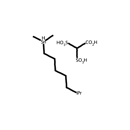 CC(C)CCCC[CH2][SnH]([CH3])[CH3].O=C(O)C(S(=O)(=O)O)S(=O)(=O)O